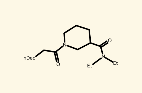 CCCCCCCCCCCC(=O)N1CCCC(C(=O)N(CC)CC)C1